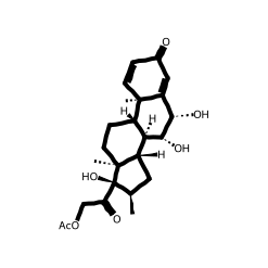 CC(=O)OCC(=O)[C@@]1(O)[C@H](C)C[C@H]2[C@@H]3[C@@H](O)[C@@H](O)C4=CC(=O)C=C[C@]4(C)[C@H]3CC[C@@]21C